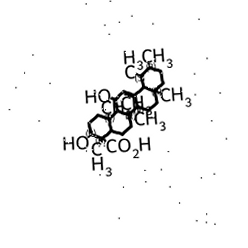 C[C@@H]1CC[C@]2(C)CC[C@]3(C)C(=CC(O)C4[C@@]5(C)CC[C@@H](O)[C@](C)(C(=O)O)C5CC[C@]43C)C2[C@H]1C